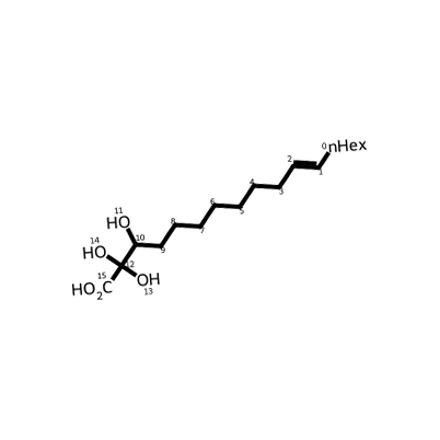 CCCCCC/C=C/CCCCCCCC(O)C(O)(O)C(=O)O